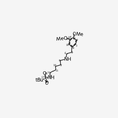 COc1ccc(CCNCCCCCNS(=O)(=O)C(C)(C)C)cc1OC